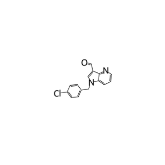 O=Cc1cn(Cc2ccc(Cl)cc2)c2cccnc12